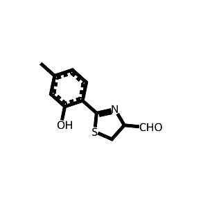 Cc1ccc(C2=NC(C=O)CS2)c(O)c1